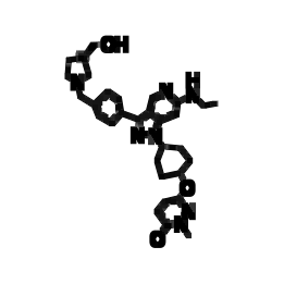 CCNc1cc2c(cn1)c(-c1ccc(CN3CC[C@@H](CO)C3)cc1)nn2C1CCC(Oc2ccc(=O)n(C)n2)CC1